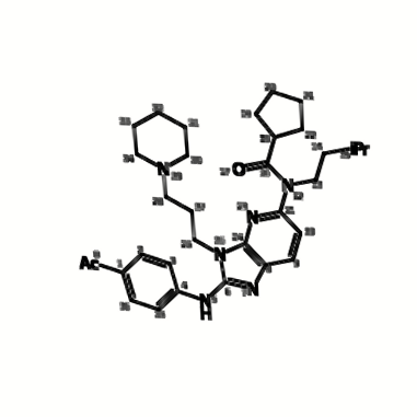 CC(=O)c1ccc(Nc2nc3ccc(N(CCC(C)C)C(=O)C4CCCC4)nc3n2CCCN2CCCCC2)cc1